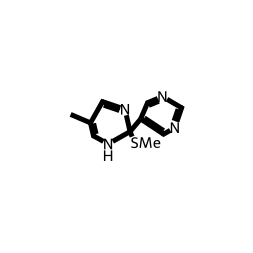 CSC1(c2cncnc2)N=CC(C)=CN1